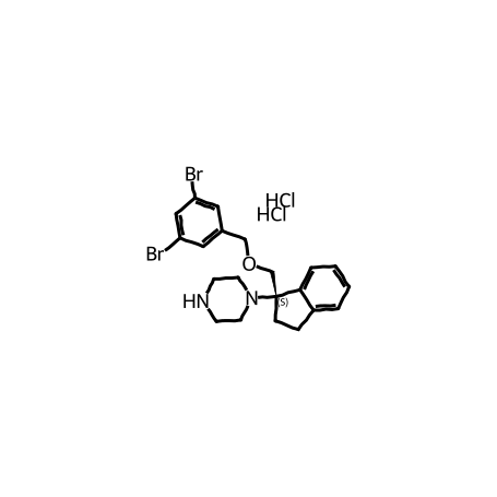 Brc1cc(Br)cc(COC[C@]2(N3CCNCC3)CCc3ccccc32)c1.Cl.Cl